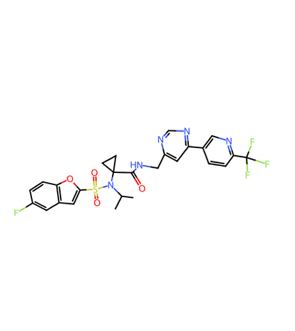 CC(C)N(C1(C(=O)NCc2cc(-c3ccc(C(F)(F)F)nc3)ncn2)CC1)S(=O)(=O)c1cc2cc(F)ccc2o1